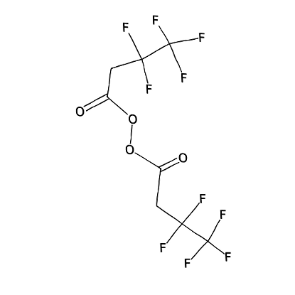 O=C(CC(F)(F)C(F)(F)F)OOC(=O)CC(F)(F)C(F)(F)F